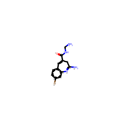 NCNC(=O)C1=Cc2ccc(Br)cc2N=C(N)C1